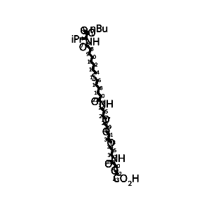 CCCCOC(=O)C(NC(=O)CCCCCCCSCCCCCC(=O)NCCCOCCOCCOCCCNC(=O)COCC(=O)O)C(C)C